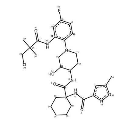 Cc1cc(C(=O)NC2(C(=O)NC3CCN(c4ccc(F)cc4NC(=O)C(C)(C)CCl)CC3O)CCCCC2)no1